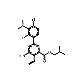 C=Cc1c(N)nc(-c2ccc(Cl)c(N(C)C)c2F)nc1C(=O)OCC(C)C